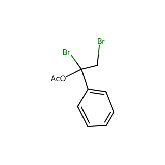 CC(=O)OC(Br)(CBr)c1ccccc1